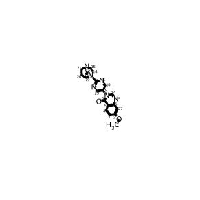 COc1ccc2c(=O)n(-c3cnc(N4CCN5CCC4CC5)nc3)cnc2c1